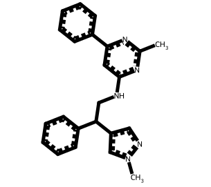 Cc1nc(NCC(c2ccccc2)c2cnn(C)c2)cc(-c2ccccc2)n1